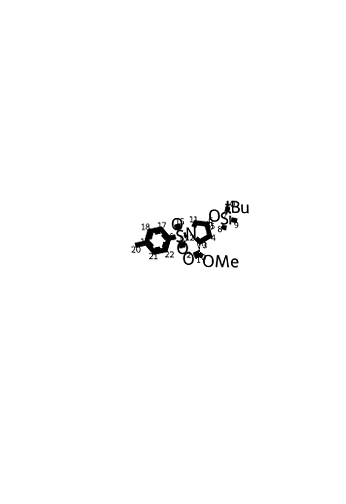 COC(=O)[C@H]1C[C@H](O[Si](C)(C)C(C)(C)C)CN1S(=O)(=O)c1ccc(C)cc1